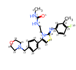 CNC(=O)NCCn1c(-c2ccc(CN3CCOCC3)cc2)cs/c1=N\c1ccc(F)c(C)c1